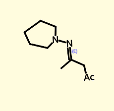 CC(=O)C/C(C)=N/N1CCCCC1